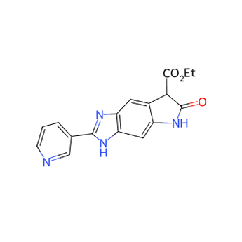 CCOC(=O)C1C(=O)Nc2cc3[nH]c(-c4cccnc4)nc3cc21